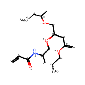 C=CC(=O)NC(C)COC(COC(C)COC)CC(=C)OCCOC